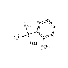 CC(C)(C)C(C(=O)O)(C(=O)O)c1ccccc1.[MgH2]